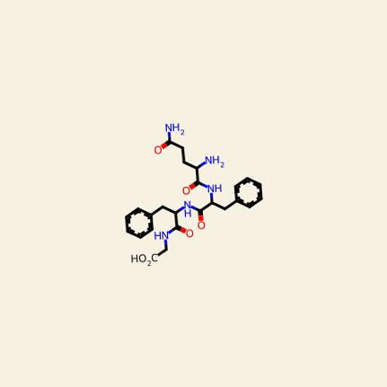 NC(=O)CCC(N)C(=O)NC(Cc1ccccc1)C(=O)NC(Cc1ccccc1)C(=O)NCC(=O)O